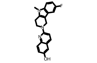 Cn1c2c(c3cc(F)ccc31)CN(c1ccc3cc(O)ccc3n1)CC2